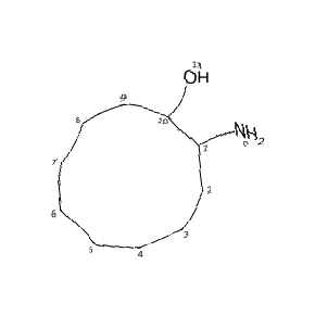 NC1CCCCCCCCC1O